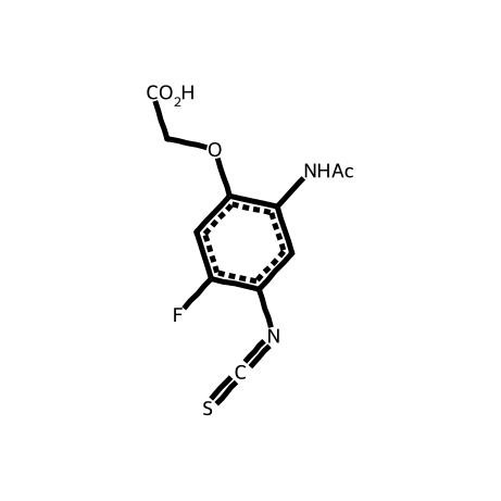 CC(=O)Nc1cc(N=C=S)c(F)cc1OCC(=O)O